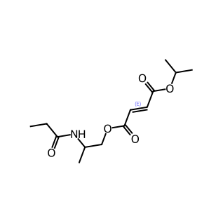 CCC(=O)NC(C)COC(=O)/C=C/C(=O)OC(C)C